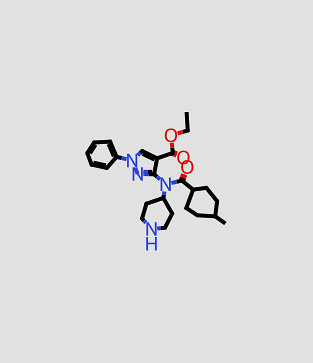 CCOC(=O)c1cn(-c2ccccc2)nc1N(C(=O)C1CCC(C)CC1)C1CCNCC1